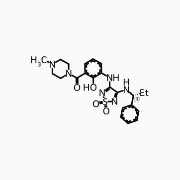 CC[C@@H](NC1=NS(=O)(=O)N=C1Nc1cccc(C(=O)N2CCN(C)CC2)c1O)c1ccccc1